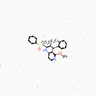 CCOC(=O)C1=C(C[S+]([O-])c2ccccc2)Nc2ccnc(OC(C)C)c2C1c1ccccc1C(F)(F)F